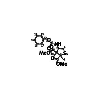 COC(=O)C1(C)SC=C(NC(=O)Oc2ccccc2)C1(C)C(=O)OC